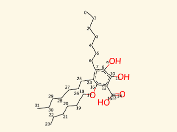 CCCCCCCc1c(O)c(O)c(C(=O)O)c(OCCCCCC)c1CCCCCCC